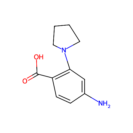 Nc1ccc(C(=O)O)c(N2CCCC2)c1